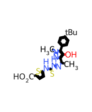 C/C(=N/NC(=S)Nc1ccc(C(=O)O)s1)c1nn(C)c(-c2ccc(C(C)(C)C)cc2)c1O